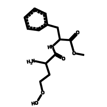 COC(=O)C(Cc1ccccc1)NC(=O)C(N)CCOO